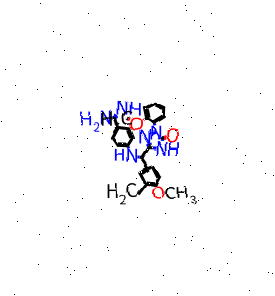 C=Cc1cc(C(Nc2ccc(C(=N)N)cc2)c2nn(-c3ccccc3OC)c(=O)[nH]2)ccc1OC